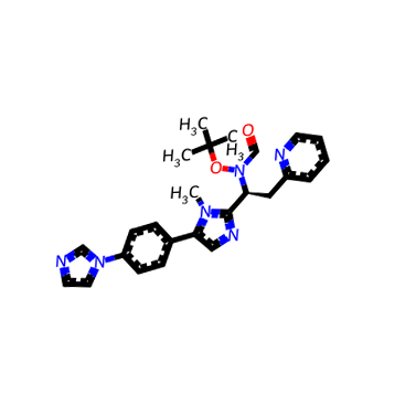 Cn1c(-c2ccc(-n3ccnc3)cc2)cnc1[C@H](Cc1ccccn1)N(C=O)OC(C)(C)C